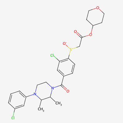 CC1C(C)N(c2cccc(Cl)c2)CCN1C(=O)c1ccc([S+]([O-])CC(=O)OC2CCOCC2)c(Cl)c1